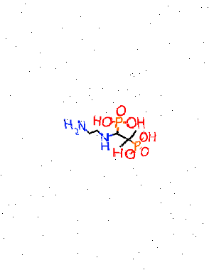 CC(C)(C(NCCN)P(=O)(O)O)P(=O)(O)O